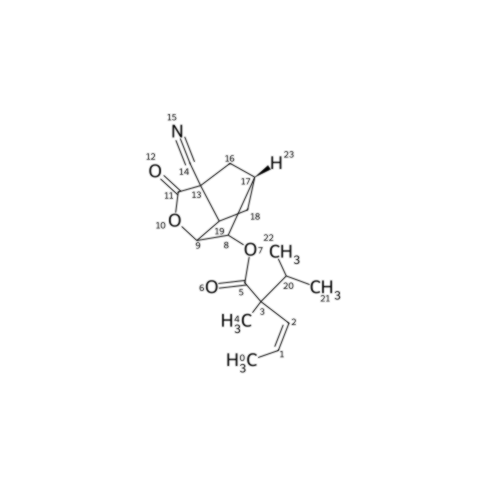 C/C=C\C(C)(C(=O)OC1C2OC(=O)C3(C#N)C[C@@H]1CC23)C(C)C